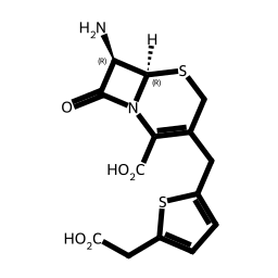 N[C@@H]1C(=O)N2C(C(=O)O)=C(Cc3ccc(CC(=O)O)s3)CS[C@H]12